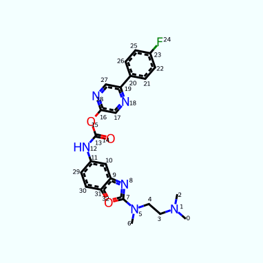 CN(C)CCN(C)c1nc2cc(NC(=O)Oc3cnc(-c4ccc(F)cc4)cn3)ccc2o1